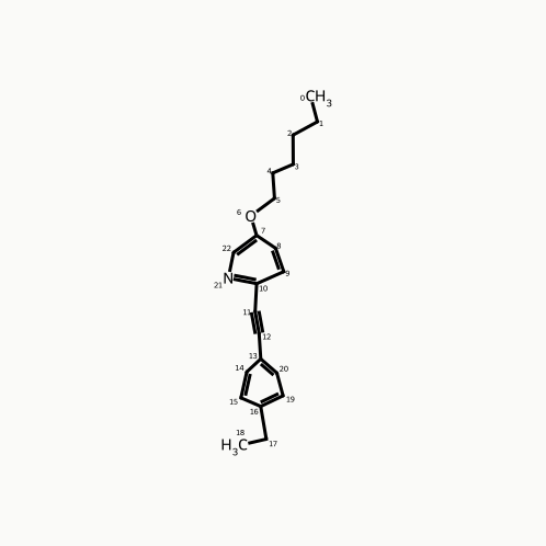 CCCCCCOc1ccc(C#Cc2ccc(CC)cc2)nc1